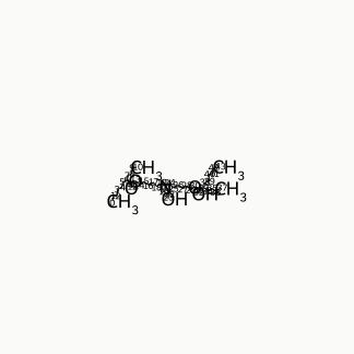 CCCCCCC(CCCC)C(=O)OCCCCCCN(CCO)CCCCCCOC(O)C(CCCC)CCCCCC